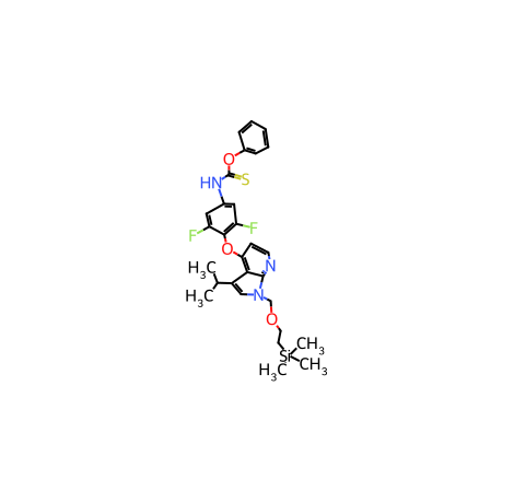 CC(C)c1cn(COCC[Si](C)(C)C)c2nccc(Oc3c(F)cc(NC(=S)Oc4ccccc4)cc3F)c12